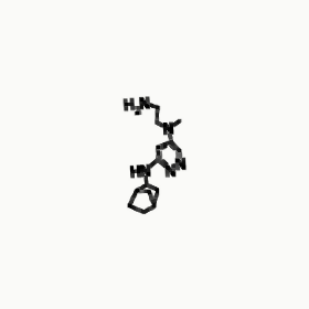 CN(CCN)c1cnnc(NC2CC3CCC2C3)c1